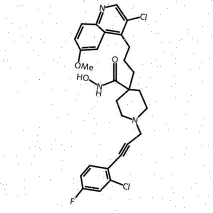 COc1ccc2ncc(Cl)c(CCCC3(C(=O)NO)CCN(CC#Cc4ccc(F)cc4Cl)CC3)c2c1